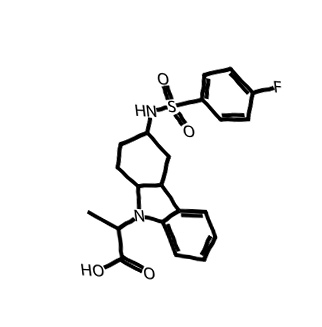 CC(C(=O)O)N1c2ccccc2C2CC(NS(=O)(=O)c3ccc(F)cc3)CCC21